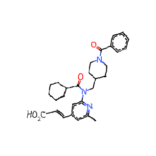 Cc1cc(C=CC(=O)O)cc(N(CC2CCN(C(=O)c3ccccc3)CC2)C(=O)C2CCCCC2)n1